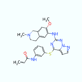 C=CC(=O)Nc1cccc(Sc2nc(Nc3cc4c(cc3OC)CN(C)CC4)nn3nccc23)c1